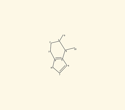 CC1CCC2=C(C=C[CH]2)C1C